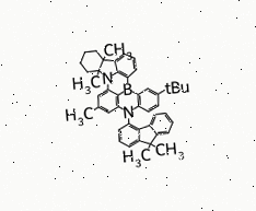 Cc1cc2c3c(c1)N1c4c(cccc4C4(C)CCCCC14C)B3c1cc(C(C)(C)C)ccc1N2c1cccc2c1-c1ccccc1C2(C)C